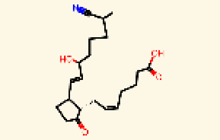 CC(C#N)CCC[C@H](O)C=C[C@@H]1CCC(=O)[C@H]1C/C=C\CCCC(=O)O